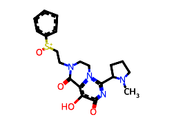 CN1CCCC1c1nc(=O)c(O)c2n1CCN(CC[S+]([O-])c1ccccc1)C2=O